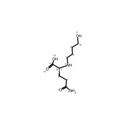 NC(=O)CC[C@H](NCCCCO)C(=O)O